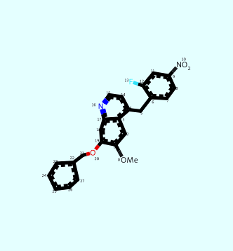 COc1cc2c(Cc3ccc([N+](=O)[O-])cc3F)ccnc2cc1OCc1ccccc1